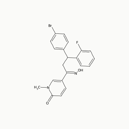 Cn1cc(/C(CC(c2ccc(Br)cc2)c2ccccc2F)=N/O)ccc1=O